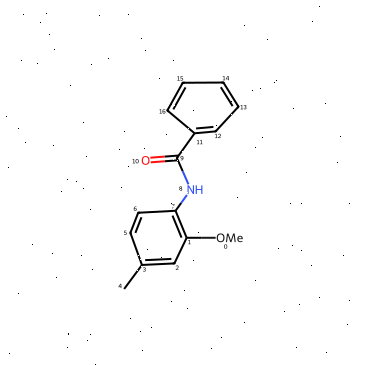 COc1cc(C)ccc1NC(=O)c1ccccc1